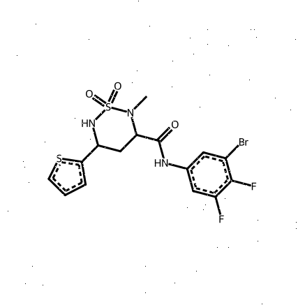 CN1C(C(=O)Nc2cc(F)c(F)c(Br)c2)CC(c2cccs2)NS1(=O)=O